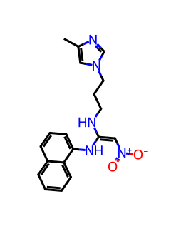 Cc1cn(CCCN/C(=C/[N+](=O)[O-])Nc2cccc3ccccc23)cn1